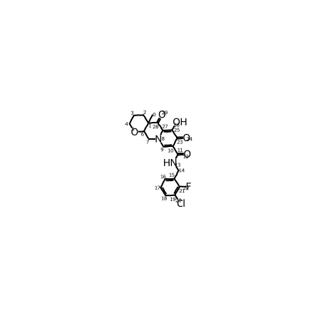 CC12CCCOC1Cn1cc(C(=O)NCc3cccc(Cl)c3F)c(=O)c(O)c1C2=O